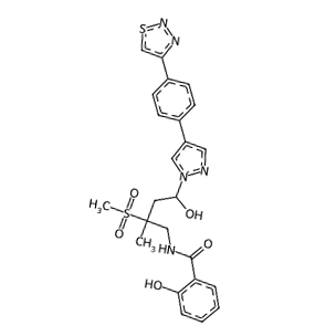 CC(CNC(=O)c1ccccc1O)(CC(O)n1cc(-c2ccc(-c3csnn3)cc2)cn1)S(C)(=O)=O